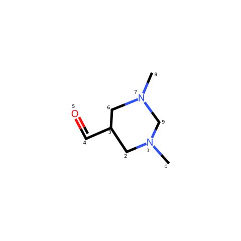 CN1CC(C=O)CN(C)C1